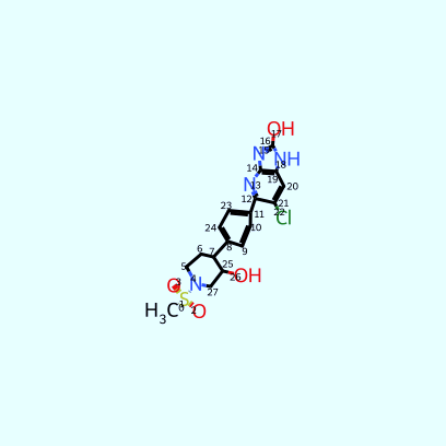 CS(=O)(=O)N1CCC(c2ccc(-c3nc4nc(O)[nH]c4cc3Cl)cc2)C(O)C1